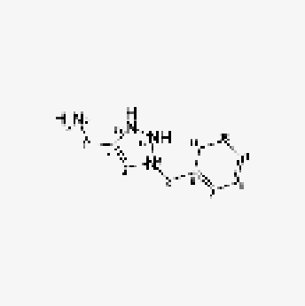 NCC1=CN(CC2=CC=CCC2)NN1